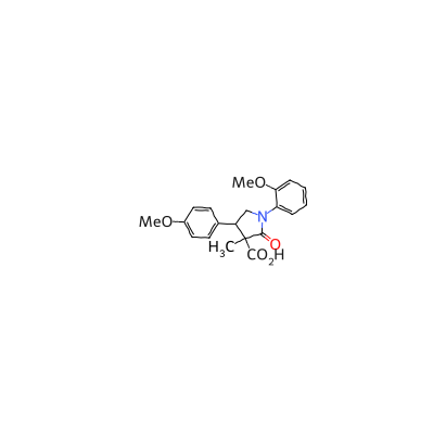 COc1ccc(C2CN(c3ccccc3OC)C(=O)C2(C)C(=O)O)cc1